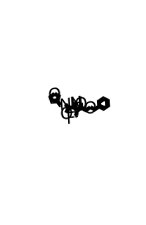 O=C(NCC1CCOC1)c1noc(COCc2ccccc2)c1CF